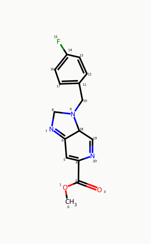 COC(=O)C1=CC2=NCN(Cc3ccc(F)cc3)C2C=N1